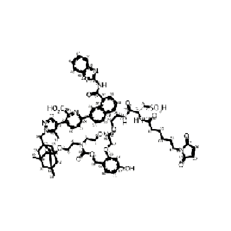 COCCN(CCOC12CC3(C)CC(C)(CC(Cn4ncc(-c5ccc(-c6ccc7cccc(C(=O)Nc8nc9ccccc9s8)c7c6)nc5C(=O)O)c4C)(C3)C1)C2)C(=O)OCc1ccc(O)cc1OCCOCCNC(=O)[C@H](CS(=O)(=O)O)NC(=O)CCCCCN1C(=O)C=CC1=O